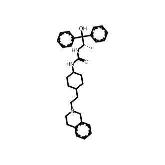 C[C@H](NC(=O)NC1CCC(CCN2CCc3ccccc3C2)CC1)C(O)(c1ccccc1)c1ccccc1